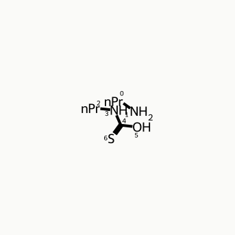 CCCN.CCCNC(O)=S